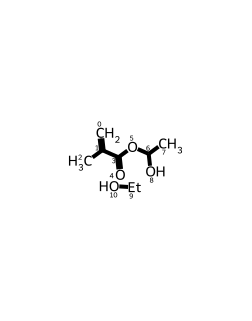 C=C(C)C(=O)OC(C)O.CCO